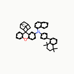 CC1(C)CCC(C)(C)c2c(-c3ccc(N(c4ccc5c(c4)C4(c6ccccc6O5)C5CC6CC7CC4C75C6)c4cccc5ccccc45)cc3)cccc21